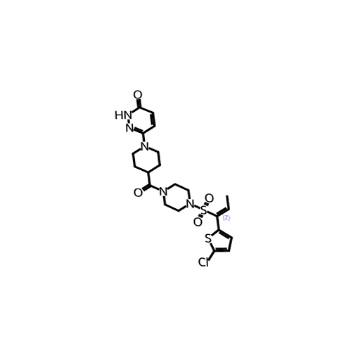 C/C=C(/c1ccc(Cl)s1)S(=O)(=O)N1CCN(C(=O)C2CCN(c3ccc(=O)[nH]n3)CC2)CC1